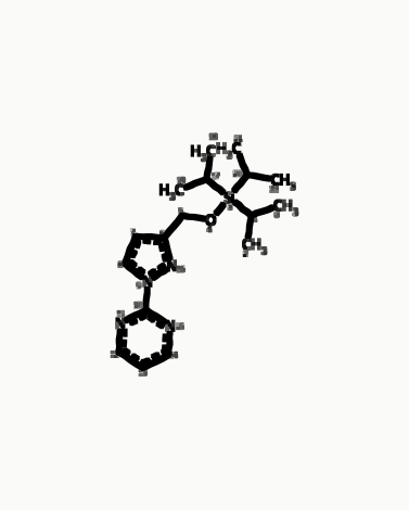 CC(C)[Si](OCc1ccn(-c2ncccn2)n1)(C(C)C)C(C)C